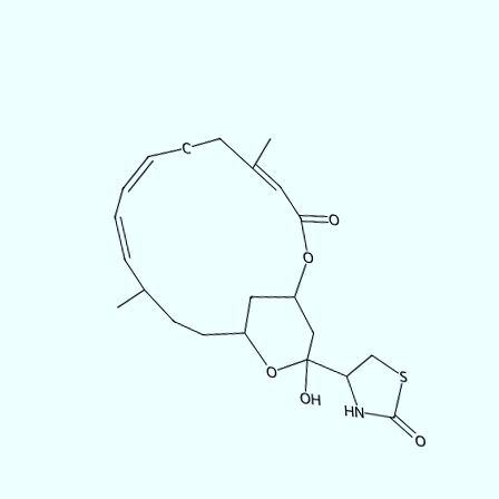 C/C1=C/C(=O)OC2CC(CCC(C)/C=C\C=C/CC1)OC(O)(C1CSC(=O)N1)C2